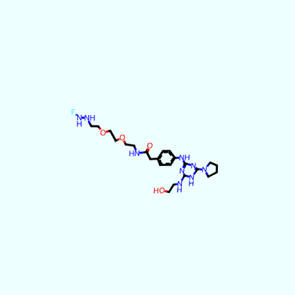 O=C(Cc1ccc(NC2=NC(NCCO)NC(N3CCCC3)=N2)cc1)NCCOCCOCCNNF